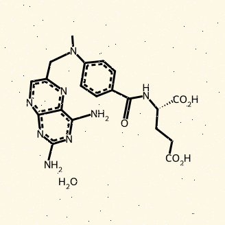 CN(Cc1cnc2nc(N)nc(N)c2n1)c1ccc(C(=O)N[C@@H](CCC(=O)O)C(=O)O)cc1.O